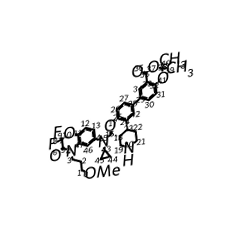 COCCCN1C(=O)C(F)(F)Oc2ccc(N(C(=O)[C@H]3CNCC[C@@H]3c3cccc(-c4ccc5c(c4)C(=O)OC(C)(C)O5)c3)C3CC3)cc21